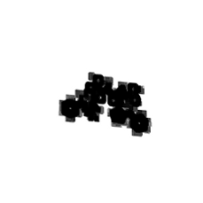 COC(=O)[C@H](OC(=O)c1cncn1[C@H](C)c1ccccc1)C(C)CC1CC1(OC(=O)C1=CC=CC1[C@H](C)c1ccccc1)C(=O)OC